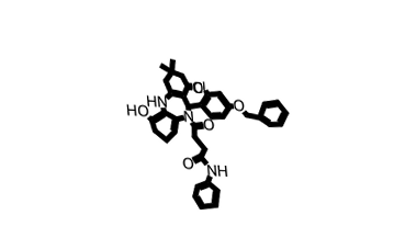 CC1(C)CC(=O)C2=C(C1)NC1=C(O)CCC=C1N(C(=O)CCC(=O)Nc1ccccc1)C2c1ccc(OCc2ccccc2)cc1Cl